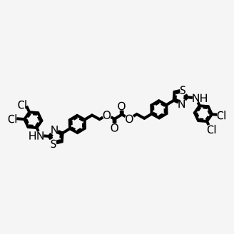 O=C(OCCc1ccc(-c2csc(Nc3ccc(Cl)c(Cl)c3)n2)cc1)C(=O)OCCc1ccc(-c2csc(Nc3ccc(Cl)c(Cl)c3)n2)cc1